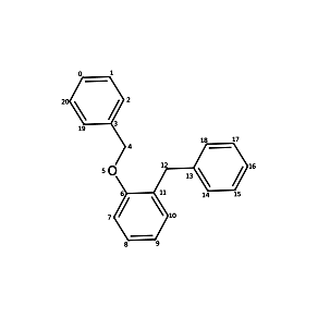 c1ccc(COc2ccccc2Cc2ccccc2)cc1